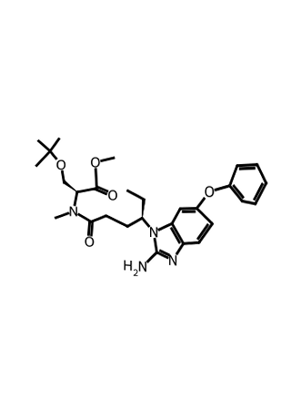 CC[C@H](CCC(=O)N(C)[C@@H](COC(C)(C)C)C(=O)OC)n1c(N)nc2ccc(Oc3ccccc3)cc21